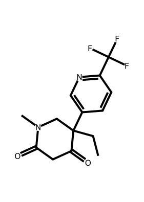 CCC1(c2ccc(C(F)(F)F)nc2)CN(C)C(=O)CC1=O